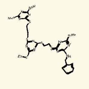 CCSc1nc(SCCSc2nc(NC)nc(SC)n2)nc(SCCSc2nc(NCc3ccccc3)nc(SC)n2)n1